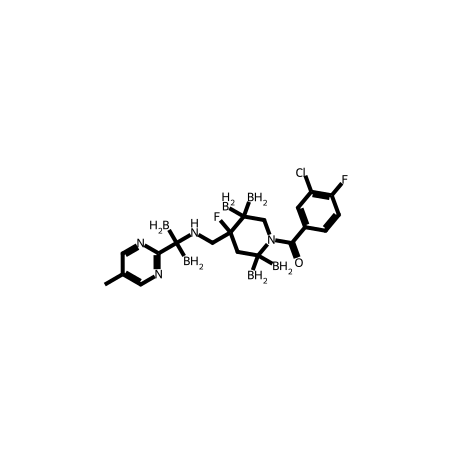 BC(B)(NCC1(F)CC(B)(B)N(C(=O)c2ccc(F)c(Cl)c2)CC1(B)B)c1ncc(C)cn1